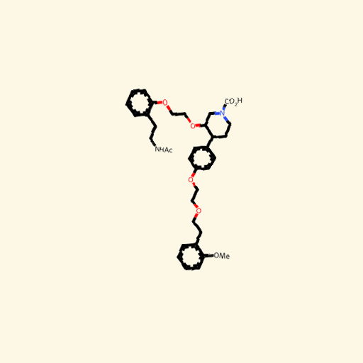 COc1ccccc1CCOCCOc1ccc(C2CCN(C(=O)O)CC2OCCOc2ccccc2CCNC(C)=O)cc1